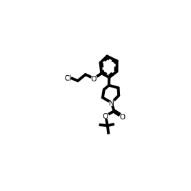 CC(C)(C)OC(=O)N1CCC(c2ccccc2OCCCl)CC1